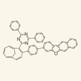 C1=CC=C2CC(=C1)C=CC(c1ccc(-c3ccc4c(c3)oc3cc5ccccc5cc34)cc1)=C2c1nc(-c2ccccc2)nc(-c2ccccc2)n1